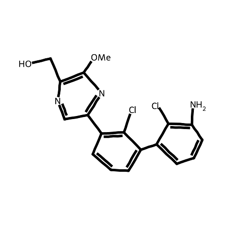 COc1nc(-c2cccc(-c3cccc(N)c3Cl)c2Cl)cnc1CO